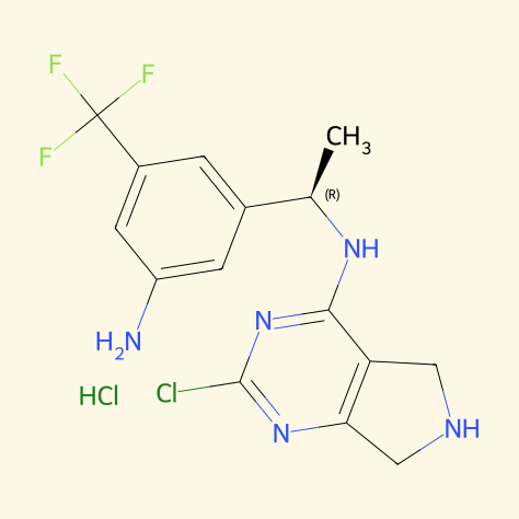 C[C@@H](Nc1nc(Cl)nc2c1CNC2)c1cc(N)cc(C(F)(F)F)c1.Cl